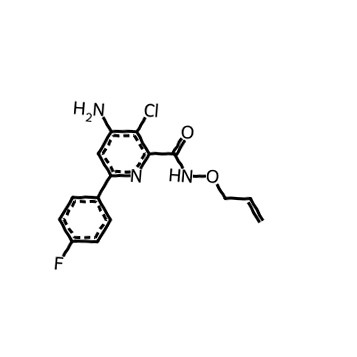 C=CCONC(=O)c1nc(-c2ccc(F)cc2)cc(N)c1Cl